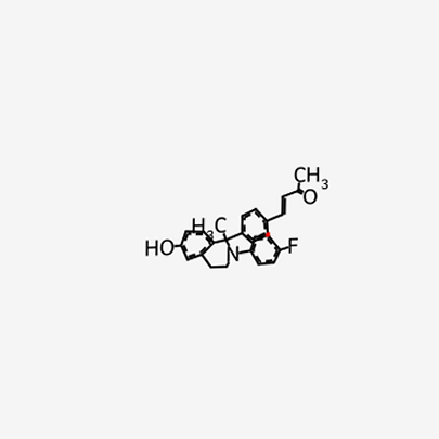 CC(=O)C=Cc1ccc(C2(C)c3ccc(O)cc3CCN2c2ccc(F)cc2)cc1